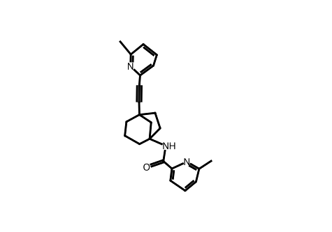 Cc1cccc(C#CC23CCCC(NC(=O)c4cccc(C)n4)(CC2)C3)n1